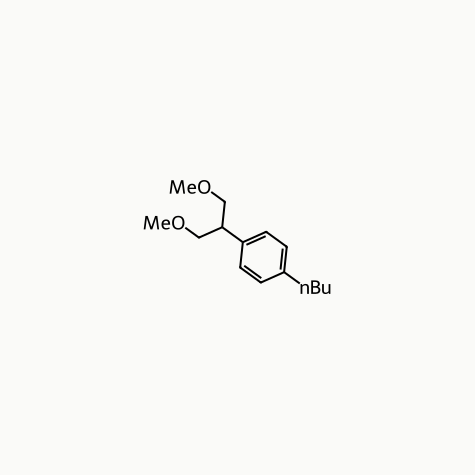 CCCCc1ccc(C(COC)COC)cc1